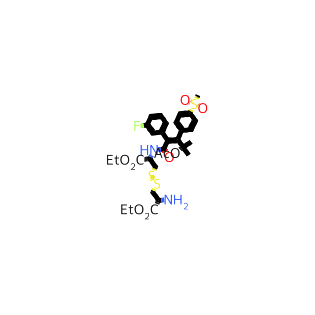 CCOC(=O)C(N)CSSCC(NC(=O)/C(=C(/c1ccc(S(C)(=O)=O)cc1)C(C)(C)OC(C)=O)c1cccc(F)c1)C(=O)OCC